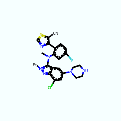 CCn1nc2c(Cl)cc(N3CCNCC3)cc2c1N(C)c1cc(F)ccc1-c1ncsc1C#N